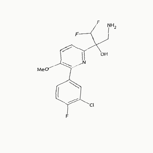 COc1ccc(C(O)(CN)C(F)F)nc1-c1ccc(F)c(Cl)c1